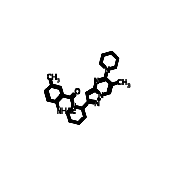 CC(=O)Nc1ccc(C)cc1C(=O)N1CCCCC1c1cc2nc(N3CCCCC3)c(C)cn2n1